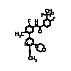 CC#Cc1ncc(-c2cc(NC(=O)c3ccc(F)c(C(C)(F)F)c3)c(F)cc2C)cc1N1CCOCC1